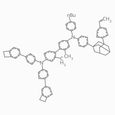 C=Cc1ccc(C23CC4CC(C2)CC(c2ccc(N(c5ccc(CCCC)cc5)c5ccc(-c6ccc(N(c7ccc(-c8ccc9c(c8)CC9)cc7)c7ccc(-c8ccc9c(c8)CC9)cc7)cc6C)c(C)c5)cc2)(C4)C3)cc1